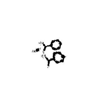 C#N.NC(=O)c1ccccc1.NC(=O)c1ccccc1